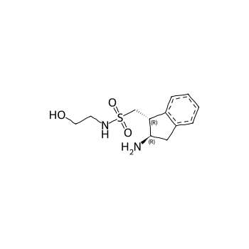 N[C@@H]1Cc2ccccc2[C@H]1CS(=O)(=O)NCCO